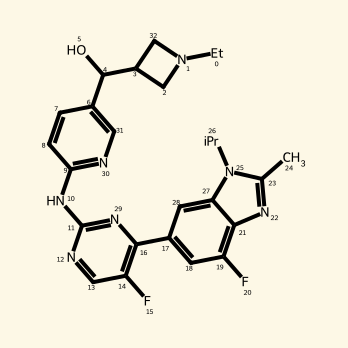 CCN1CC(C(O)c2ccc(Nc3ncc(F)c(-c4cc(F)c5nc(C)n(C(C)C)c5c4)n3)nc2)C1